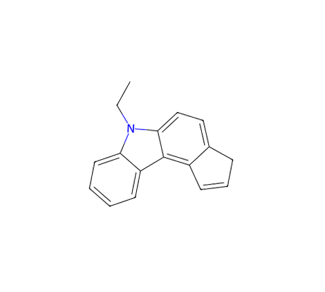 CCn1c2ccccc2c2c3c(ccc21)CC=C3